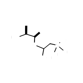 C=C(C)C(=O)OC(C[N+](C)(C)C)S(=O)(=O)O